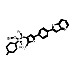 CCOP(=O)(C1CCC(C)CC1)N(c1cc(-c2ccc(-c3cc4ncccc4o3)cc2)sc1C(=O)O)C(C)C